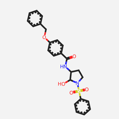 O=C(NC1CCN(S(=O)(=O)c2ccccc2)C1O)c1ccc(OCc2ccccc2)cc1